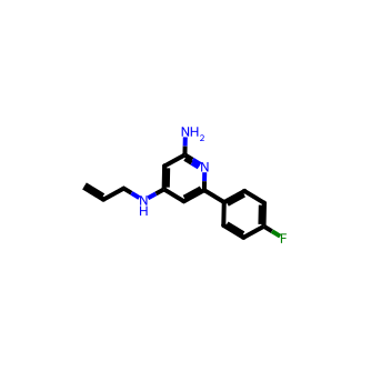 C=CCNc1cc(N)nc(-c2ccc(F)cc2)c1